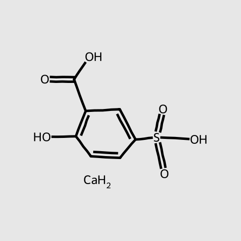 O=C(O)c1cc(S(=O)(=O)O)ccc1O.[CaH2]